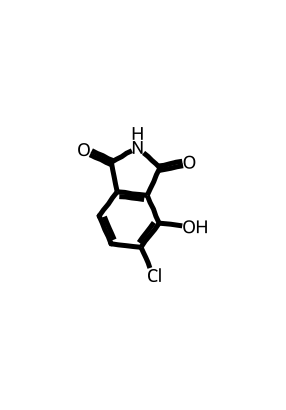 O=C1NC(=O)c2c1ccc(Cl)c2O